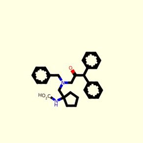 O=C(O)NC1(CN(CC(=O)C(c2ccccc2)c2ccccc2)Cc2ccccc2)CCCC1